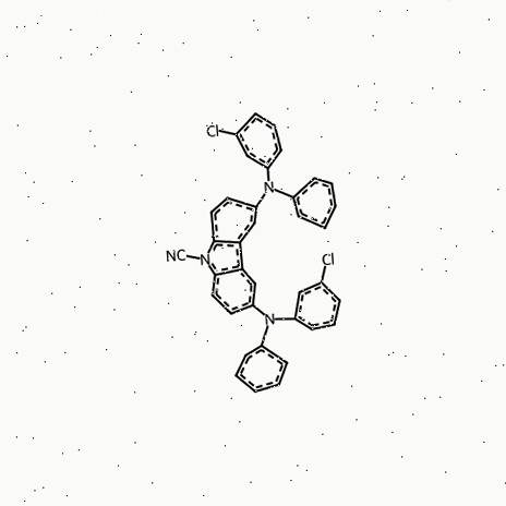 N#Cn1c2ccc(N(c3ccccc3)c3cccc(Cl)c3)cc2c2cc(N(c3ccccc3)c3cccc(Cl)c3)ccc21